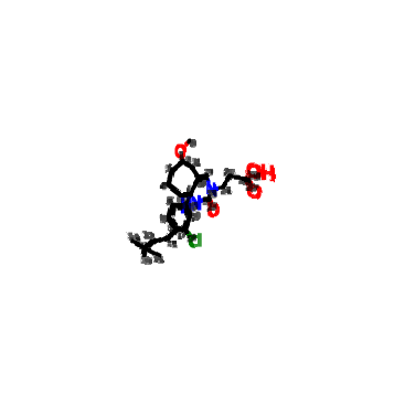 COC1CCC[C@@]2(c3ccc(CCC(C)(C)C)c(Cl)c3)NC(=O)N(CCC(=O)O)C=C2C1